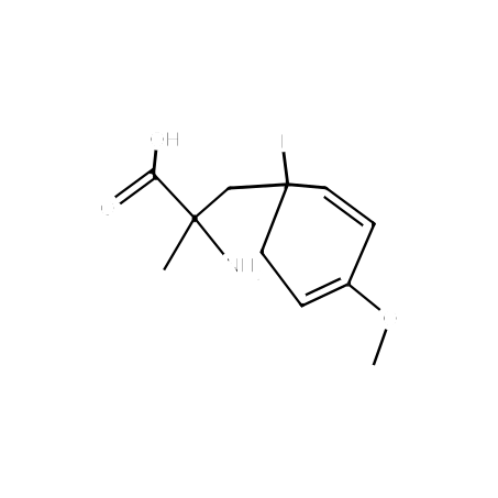 COC1=CCC(I)(CC(C)(N)C(=O)O)C=C1